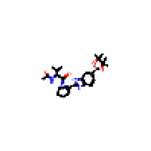 CC(=O)NC(C(=O)N1C2CCC(C2)C1c1nc2ccc(B3OC(C)(C)C(C)(C)O3)cc2[nH]1)C(C)C